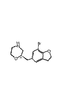 Brc1cc(C[C@@H]2CNCCO2)cc2c1OCC2